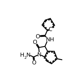 Cc1ccc2c(c1)C(NC(=O)c1ccccc1)C(=O)N2C(N)=O